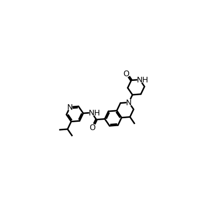 CC(C)c1cncc(NC(=O)c2ccc3c(c2)CN(C2CCNC(=O)C2)CC3C)c1